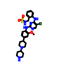 COc1cc(C2CCN(C3CCNCC3)CC2)ccc1Nc1ncc(Cl)c(Nc2ccccc2CN[SH](=O)=O)n1